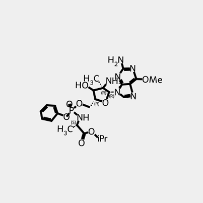 COc1nc(N)nc2c1ncn2[C@@H]1O[C@H](COP(=O)(N[C@@H](C)C(=O)OC(C)C)Oc2ccccc2)C(O)[C@@]1(C)N